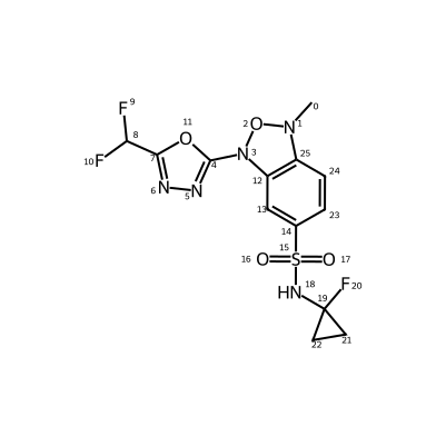 CN1ON(c2nnc(C(F)F)o2)c2cc(S(=O)(=O)NC3(F)CC3)ccc21